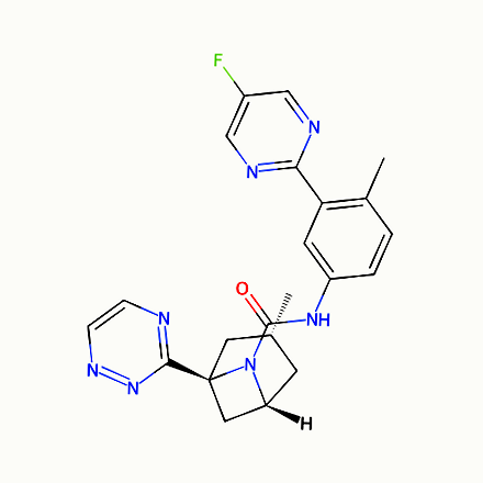 Cc1ccc(NC(=O)N2[C@@H]3C[C@@H](C)C[C@@]2(c2nccnn2)C3)cc1-c1ncc(F)cn1